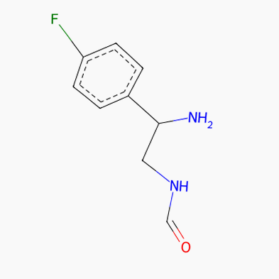 NC(CNC=O)c1ccc(F)cc1